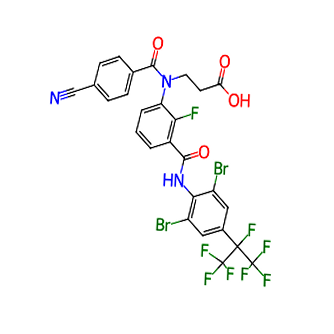 N#Cc1ccc(C(=O)N(CCC(=O)O)c2cccc(C(=O)Nc3c(Br)cc(C(F)(C(F)(F)F)C(F)(F)F)cc3Br)c2F)cc1